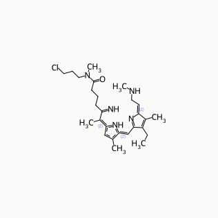 CCC1=C(C)/C(=C/CNC)N=C1/C=c1\[nH]/c(=C(/C)C(=N)CCCC(=O)N(C)CCCCl)cc1C